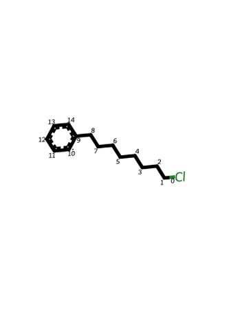 ClCCCCCCCCc1[c]cccc1